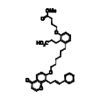 COC(=O)CCCOc1cccc(CCCCCCOc2ccc3c(=O)ccoc3c2C/C=C/c2ccccc2)c1CCC(=O)O